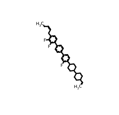 C=CC1CCC(C2CCC(c3ccc(-c4ccc(-c5ccc(C/C=C\CC)c(F)c5F)cc4)cc3F)CC2)CC1